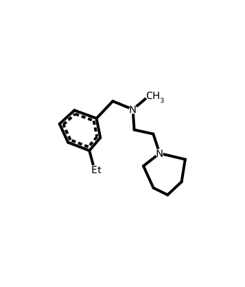 CCc1cccc(CN(C)CCN2CCCCC2)c1